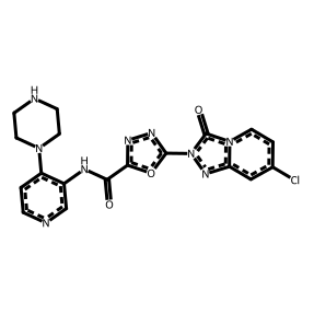 O=C(Nc1cnccc1N1CCNCC1)c1nnc(-n2nc3cc(Cl)ccn3c2=O)o1